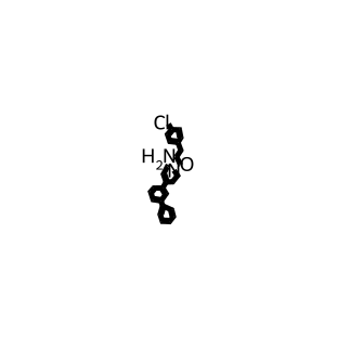 NC(Cc1ccc(Cl)cc1)C(=O)N1CC=C(c2cccc(-c3ccccc3)c2)CC1